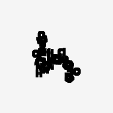 O=C(NCCN1CCOCC1)C1=Cc2c(ncnc2Nc2ccc(OC3CCN(C(=O)C4CCCC4)CC3)c(Cl)c2)NCC1